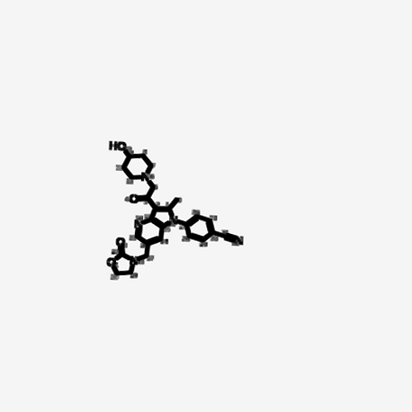 Cc1c(C(=O)CN2CCC(O)CC2)c2ncc(CN3CCOC3=O)cc2n1-c1ccc(C#N)cc1